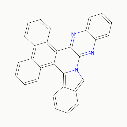 c1ccc2c(c1)cn1c3nc4ccccc4nc3c3c4ccccc4c4ccccc4c3c21